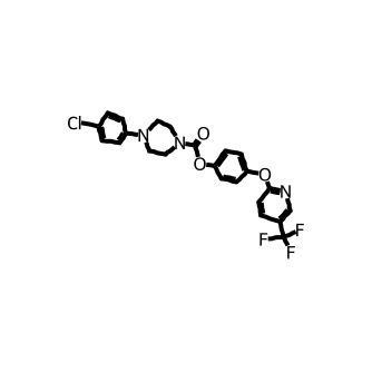 O=C(Oc1ccc(Oc2ccc(C(F)(F)F)cn2)cc1)N1CCN(c2ccc(Cl)cc2)CC1